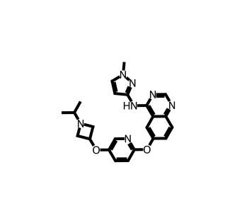 CC(C)N1CC(Oc2ccc(Oc3ccc4ncnc(Nc5ccn(C)n5)c4c3)nc2)C1